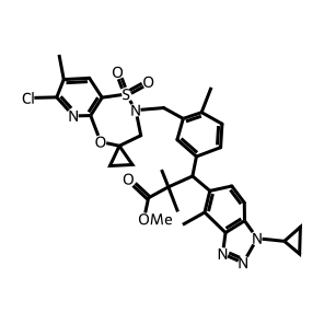 COC(=O)C(C)(C)C(c1ccc(C)c(CN2CC3(CC3)Oc3nc(Cl)c(C)cc3S2(=O)=O)c1)c1ccc2c(nnn2C2CC2)c1C